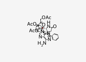 CC(=O)OC[C@H]1O[C@@](C2NC(=O)CC2(Sc2ccccc2)Sc2ccccc2)(n2cnc3c(N)ncnc32)[C@H](OC(C)=O)[C@@H]1OC(C)=O